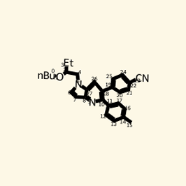 CCCCOC(CC)Cn1ccc2nc(-c3ccc(C)cc3)c(-c3ccc(C#N)cc3)cc21